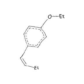 CC/C=C\c1ccc(OCC)cc1